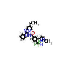 CCc1ccn2c(NC(=O)c3ccc(C(F)(F)F)c(C4C=CN(C)N4)c3)c(-c3ccccc3)nc2c1